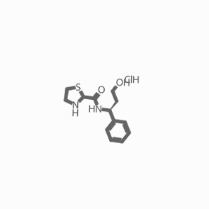 Cl.O=C(N[C@@H](CCO)c1ccccc1)C1NCCS1